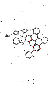 CC1C=CC=CC1c1ccc(-c2ccccc2N(c2ccccc2-c2ccc3c(c2)C2(c4ccccc4S3)c3cc(C(C)(C)C)ccc3-c3ccc(C(C)(C)C)cc32)c2cccc3ccccc23)cc1